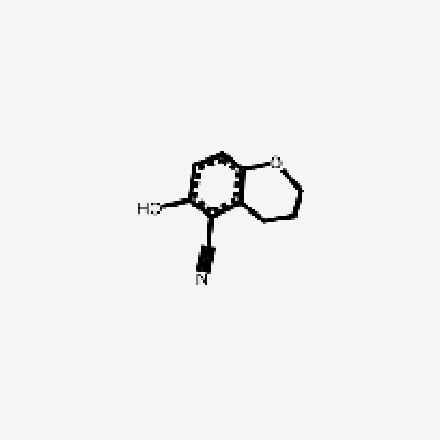 N#Cc1c(O)ccc2c1CCCO2